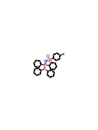 O=S(=O)(N=P(c1ccccc1)(c1ccccc1)P(c1ccccc1)c1ccccc1)c1ccc(I)cc1